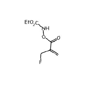 C=C(CF)C(=O)ONC(=O)OCC